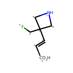 O=C(O)/C=C/C1(CF)CNC1